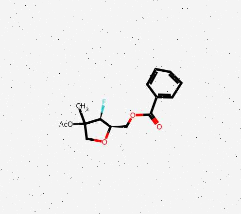 CC(=O)OC1(C)CO[C@H](COC(=O)c2ccccc2)[C@@H]1F